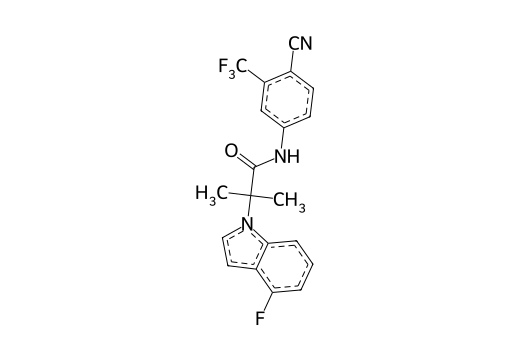 CC(C)(C(=O)Nc1ccc(C#N)c(C(F)(F)F)c1)n1ccc2c(F)cccc21